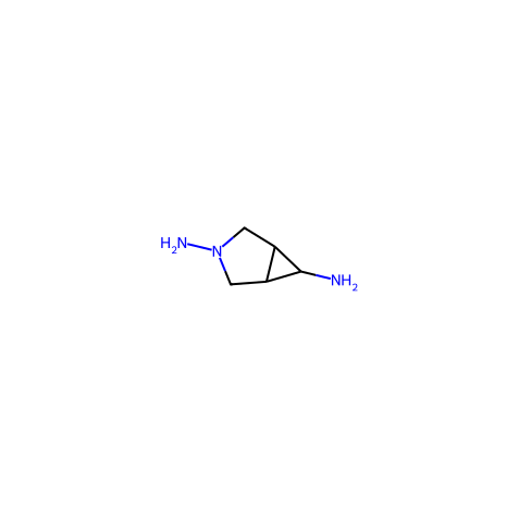 NC1C2CN(N)CC12